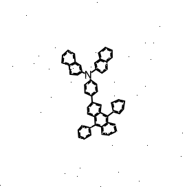 c1ccc(-c2c3ccccc3c(-c3ccccc3)c3cc(-c4ccc(N(c5ccc6ccccc6c5)c5ccc6ccccc6c5)cc4)ccc23)cc1